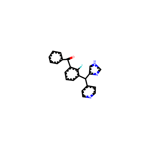 O=C(c1ccccc1)c1cccc(C(c2ccncc2)c2c[nH]cn2)c1F